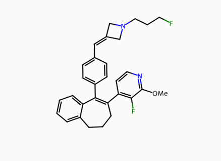 COc1nccc(C2=C(c3ccc(C=C4CN(CCCF)C4)cc3)c3ccccc3CCC2)c1F